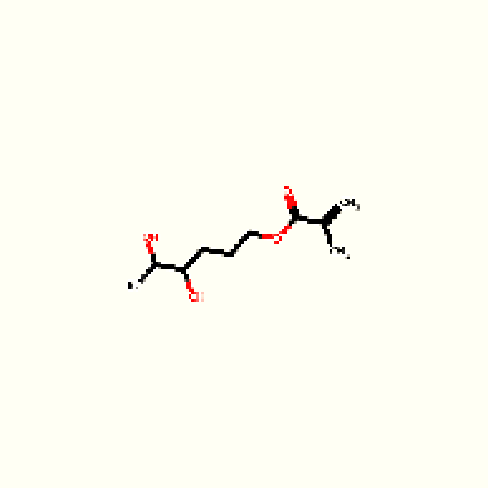 C=C(C)C(=O)OCCCC(O)C(O)CC